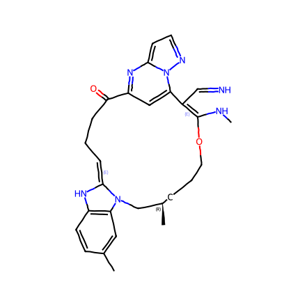 CN/C1=C(\C=N)c2cc(nc3ccnn23)C(=O)CC/C=C2\Nc3ccc(C)cc3N2C[C@H](C)CCCO1